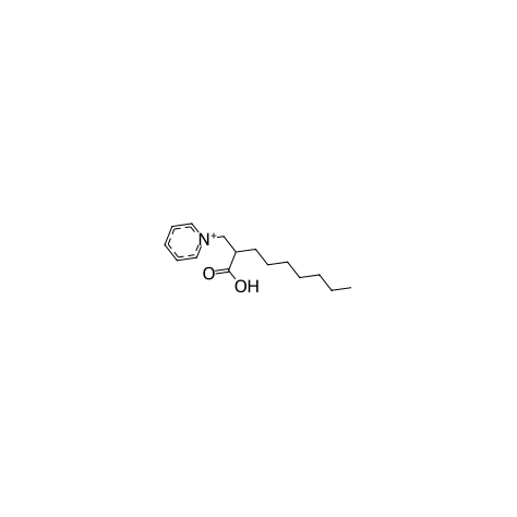 CCCCCCCC(C[n+]1ccccc1)C(=O)O